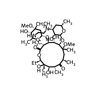 CC[C@H]1OC(=O)[C@H](C)[C@@H](O[C@H]2C[C@@](C)(OC)[C@@H](O)[C@H](C)O2)[C@H](C)[C@@H](O[C@@H]2O[C@H](C)C[C@H](N(C)CCN)[C@H]2O)[C@@](C)(OC)C[C@@H](C)C(=O)[C@H](C)[C@@H](O)[C@]1(C)O